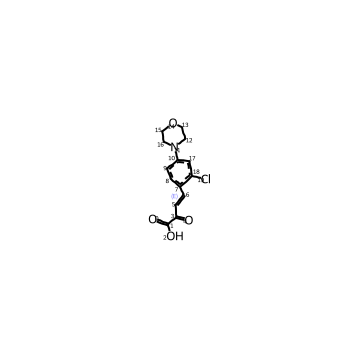 O=C(O)C(=O)/C=C/c1ccc(N2CCOCC2)cc1Cl